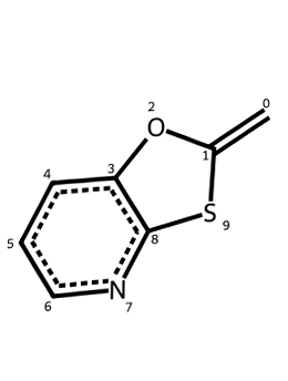 C=C1Oc2cccnc2S1